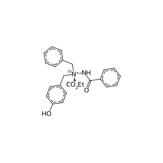 CCOC(=O)[N@+](Cc1ccccc1)(Cc1ccc(O)cc1)NC(=O)c1ccccc1